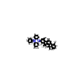 CC1=CC(N2c3ccccc3N(c3ccccc3)c3ccccc32)=CC2C1c1ccc3c(c1C2(C)C)C(C)(C)c1cccc(C)c1-3